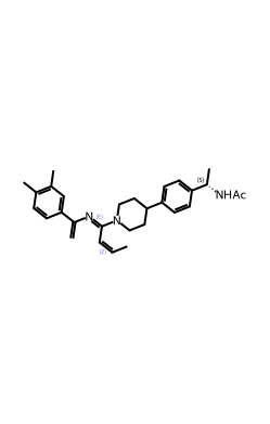 C=C(/N=C(\C=C/C)N1CCC(c2ccc([C@H](C)NC(C)=O)cc2)CC1)c1ccc(C)c(C)c1